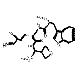 CCOC(=O)C(NC(=O)[C@H](CCC(=O)C=N)NC(=O)[C@H](Cc1c[nH]c2ccccc12)NC(C)=O)C1COC1